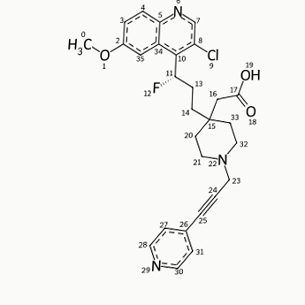 COc1ccc2ncc(Cl)c([C@@H](F)CCC3(CC(=O)O)CCN(CC#Cc4ccncc4)CC3)c2c1